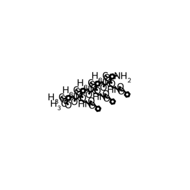 COc1ccc(CC(=O)[C@H](CCCCNC(=O)OCc2ccccc2)NC(=O)c2cc(CC(=O)[C@H](CCCCNC(=O)OCc3ccccc3)NC(=O)c3cc(CC(=O)[C@H](CCCCNC(=O)OCc4ccccc4)NC(=O)c4cc(N)ccc4OC)ccc3OC)ccc2OC)cc1C(C)=O